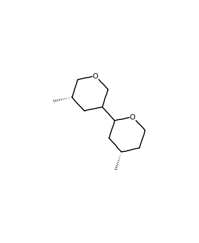 C[C@@H]1COCC(C2C[C@@H](C)CCO2)C1